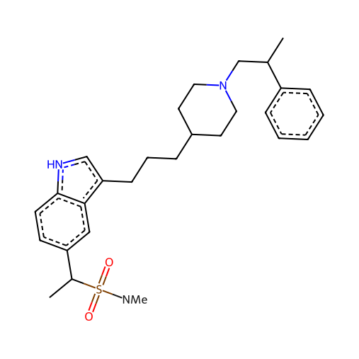 CNS(=O)(=O)C(C)c1ccc2[nH]cc(CCCC3CCN(CC(C)c4ccccc4)CC3)c2c1